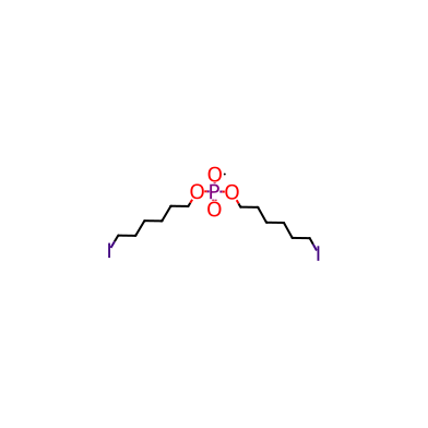 [O]P(=O)(OCCCCCCI)OCCCCCCI